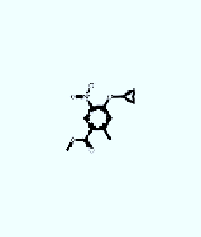 COC(=O)c1cc([N+](=O)[O-])c(OC2CC2)cc1C